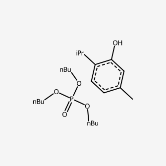 CCCCOP(=O)(OCCCC)OCCCC.Cc1ccc(C(C)C)c(O)c1